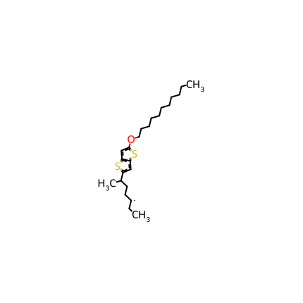 CC[CH]CCC(C)c1cc2sc(OCCCCCCCCCCC)cc2s1